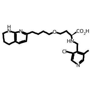 Cc1cncc(Cl)c1CN[C@@H](CCOCCCCc1ccc2c(n1)NCCC2)C(=O)O